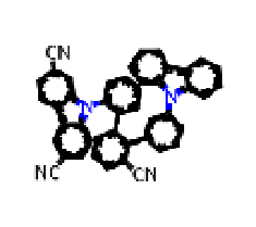 N#Cc1ccc2c(c1)c1ccc(C#N)cc1n2-c1ccccc1-c1cccc(C#N)c1-c1cccc(-n2c3ccccc3c3ccccc32)c1